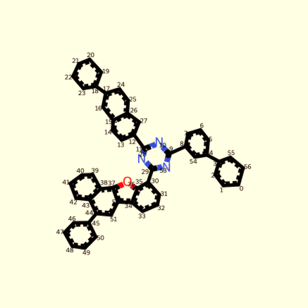 c1ccc(-c2cccc(-c3nc(-c4ccc5cc(-c6ccccc6)ccc5c4)nc(-c4cccc5c4oc4c6ccccc6c(-c6ccccc6)cc54)n3)c2)cc1